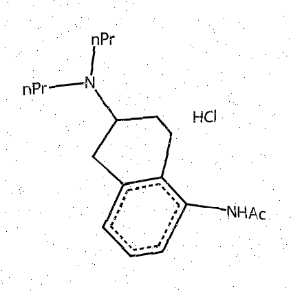 CCCN(CCC)C1CCc2c(cccc2NC(C)=O)C1.Cl